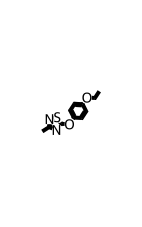 CCOc1ccc(Oc2nc(C)ns2)cc1